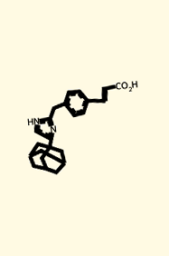 O=C(O)/C=C/c1ccc(Cc2nc(C34CC5CC(CC(C5)C3)C4)c[nH]2)cc1